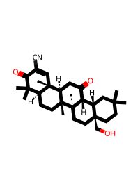 CC1(C)CC[C@]2(CO)CC[C@]3(C)[C@H](C(=O)C[C@@H]4[C@@]5(C)C=C(C#N)C(=O)C(C)(C)[C@@H]5CC[C@]43C)[C@@H]2C1